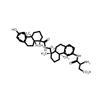 C[C@]1(C(=O)NC(=O)[C@@]2(C)CCC[C@]3(C)c4cc(NC(=O)C(N)CC(=O)O)ccc4CC[C@@H]23)CCC[C@]2(C)c3cc(O)ccc3CC[C@@H]12